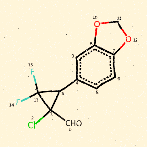 O=CC1(Cl)C(c2ccc3c(c2)OCO3)C1(F)F